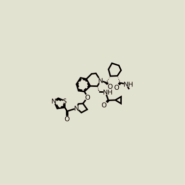 CNC(=O)[C@H]1CCCC[C@H]1C(=O)N1CCc2cccc(OC3CCN(C(=O)c4cncs4)C3)c2[C@H]1CNC(=O)C1CC1